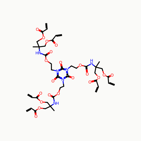 C=CC(=O)OCC(C)(COC(=O)C=C)NC(=O)OCCn1c(=O)n(CCOC(=O)NC(C)(COC(=O)C=C)COC(=O)C=C)c(=O)n(CCOC(=O)NC(C)(COC(=O)C=C)COC(=O)C=C)c1=O